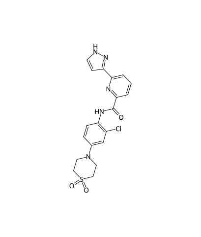 O=C(Nc1ccc(N2CCS(=O)(=O)CC2)cc1Cl)c1cccc(-c2cc[nH]n2)n1